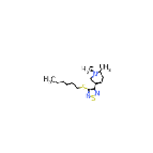 CCCCCCSc1nsnc1C1=CCC(C)N(C)C1